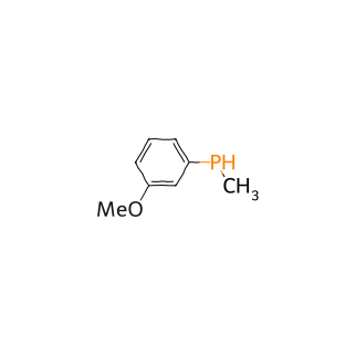 COc1cccc(PC)c1